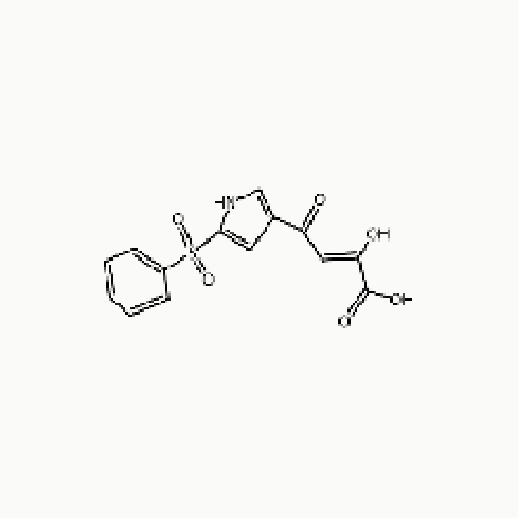 O=C(O)C(O)=CC(=O)c1c[nH]c(S(=O)(=O)c2ccccc2)c1